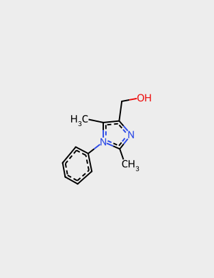 Cc1nc(CO)c(C)n1-c1ccccc1